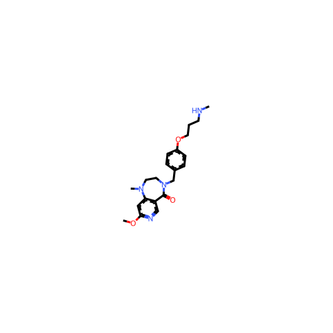 CNCCCOc1ccc(CN2CCN(C)c3cc(OC)ncc3C2=O)cc1